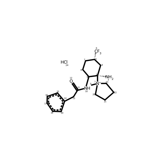 C[N+]1([C@]2(N)C[C@@H](C(F)(F)F)CCC2NC(=O)Cc2ccccc2)CCCC1.Cl